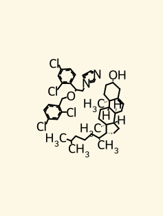 CC(C)CCC[C@@H](C)[C@H]1CC[C@H]2[C@@H]3CC=C4C[C@@H](O)CC[C@]4(C)[C@H]3CC[C@]12C.Clc1ccc(COC(Cn2ccnc2)c2ccc(Cl)cc2Cl)c(Cl)c1